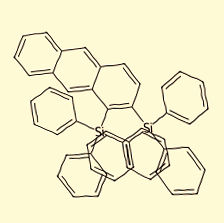 c1ccc([Si](c2ccccc2)(c2ccccc2)c2ccc3cc4ccccc4cc3c2[Si](c2ccccc2)(c2ccccc2)c2ccccc2)cc1